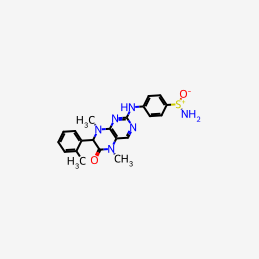 Cc1ccccc1C1C(=O)N(C)c2cnc(Nc3ccc([S+](N)[O-])cc3)nc2N1C